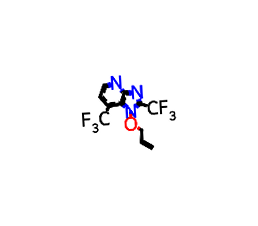 C=CCOn1c(C(F)(F)F)nc2nccc(C(F)(F)F)c21